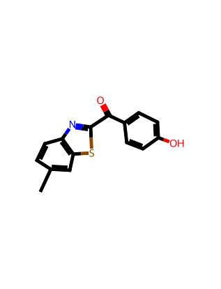 Cc1ccc2nc(C(=O)c3ccc(O)cc3)sc2c1